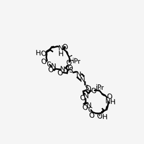 CC1=C\[C@@H](O)CC(=O)Cc2nc(co2)C(=O)N2CCC(SCCN3CCN(CCSC4CCN5C(=O)c6coc(n6)CC(=O)C[C@H](O)/C=C(C)/C=C/CNC(=O)/C=C/[C@@H](C)[C@@H](C(C)C)OC(=O)C45)CC3)C2C(=O)O[C@H](C(C)C)[C@H](C)/C=C/C(=O)NC\C=C\1